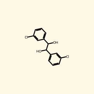 OC(c1cccc(Cl)c1)C(O)c1cccc(Cl)c1